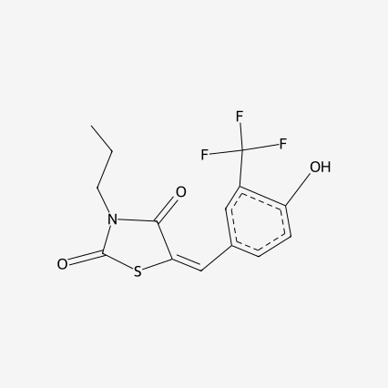 CCCN1C(=O)SC(=Cc2ccc(O)c(C(F)(F)F)c2)C1=O